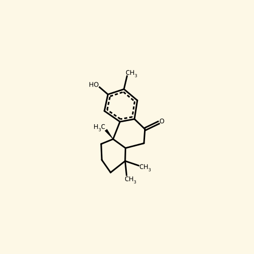 Cc1cc2c(cc1O)[C@@]1(C)CCCC(C)(C)C1CC2=O